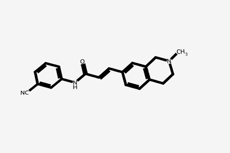 CN1CCc2ccc(/C=C/C(=O)Nc3cccc(C#N)c3)cc2C1